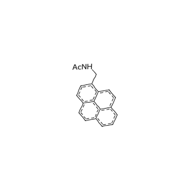 CC(=O)NCc1ccc2ccc3cccc4ccc1c2c34